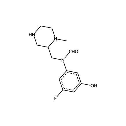 CN1CCNCC1CN(C=O)c1cc(O)cc(F)c1